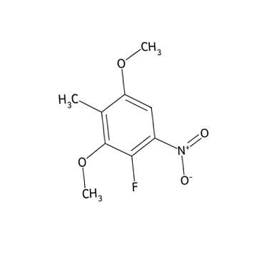 COc1cc([N+](=O)[O-])c(F)c(OC)c1C